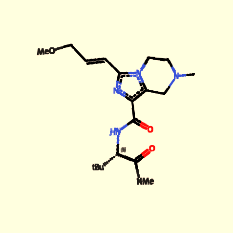 CNC(=O)[C@@H](NC(=O)c1nc(C=CCOC)n2c1CN(C)CC2)C(C)(C)C